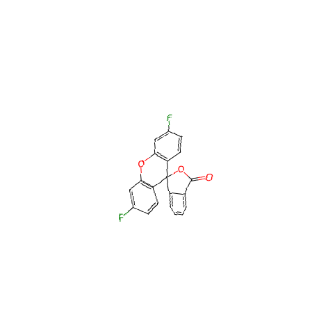 O=C1OC2(c3ccc(F)cc3Oc3cc(F)ccc32)c2ccccc21